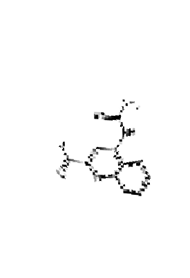 NC(=O)Nc1cc(C(=O)O)nc2ccccc12